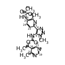 Cc1nc(-c2nnn(C)c2NC(=O)O[C@H](C)c2cncnc2C)ccc1NS(C)(=O)=O